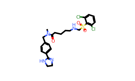 CN(Cc1ccc(C2=NCCN2)cc1)C(=O)CCCCNCS(=O)(=O)c1c(Cl)cccc1Cl